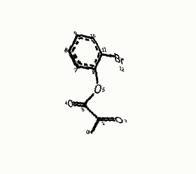 CC(=O)C(=O)Oc1ccccc1Br